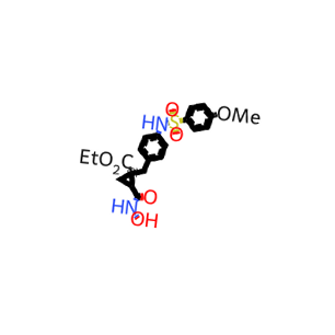 CCOC(=O)[C@@]1(Cc2ccc(NS(=O)(=O)c3ccc(OC)cc3)cc2)CC1C(=O)NO